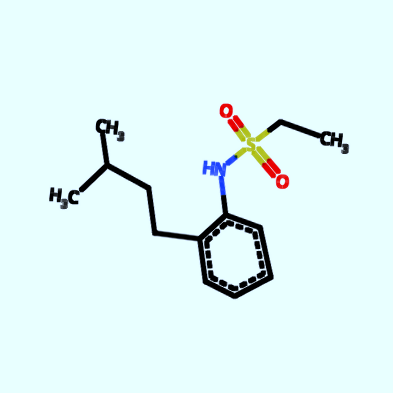 CCS(=O)(=O)Nc1ccccc1CCC(C)C